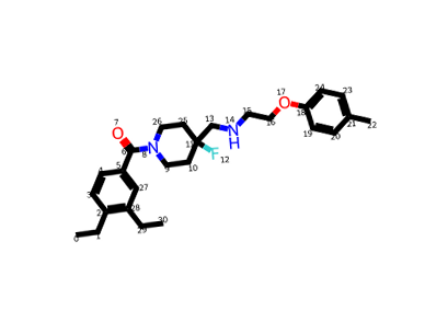 CCc1ccc(C(=O)N2CCC(F)(CNCCOc3ccc(C)cc3)CC2)cc1CC